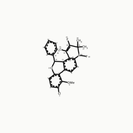 COc1c(Cl)ccc2c1-c1ccc3c(c1C(c1ccccc1)O2)C(C)=C(F)C(C)(C)N3F